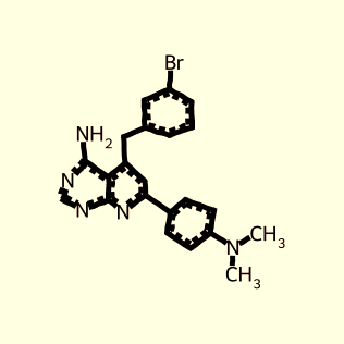 CN(C)c1ccc(-c2cc(Cc3cccc(Br)c3)c3c(N)ncnc3n2)cc1